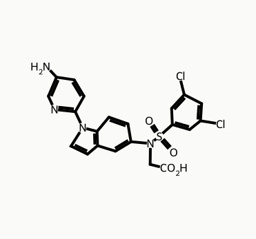 Nc1ccc(-n2ccc3cc(N(CC(=O)O)S(=O)(=O)c4cc(Cl)cc(Cl)c4)ccc32)nc1